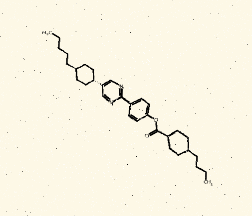 CCCCC[C@H]1CC[C@H](c2cnc(-c3ccc(OC(=O)C4CCC(CCCC)CC4)cc3)nc2)CC1